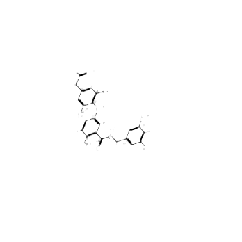 O=C(O)Cc1cc(Br)c(Oc2ccc(O)c(C(=O)NCc3cc(F)cc(F)c3)c2)c(Br)c1